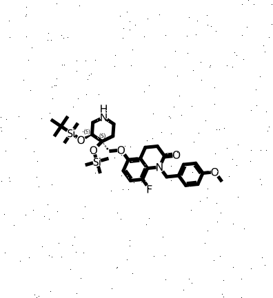 COc1ccc(CN2C(=O)CCc3c(OC[C@@]4(O[Si](C)(C)C)CCNC[C@@H]4O[Si](C)(C)C(C)(C)C)ccc(F)c32)cc1